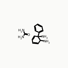 NC(N)=O.NC1C=CC=CC1(N)c1ccccc1